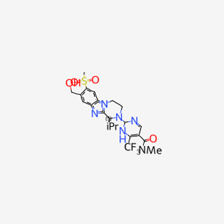 CNC(=O)C1=C(C(F)(F)F)NC(N2CCn3c(nc4cc(CO)c(S(C)(=O)=O)cc43)[C@@H]2C(C)C)N=C1